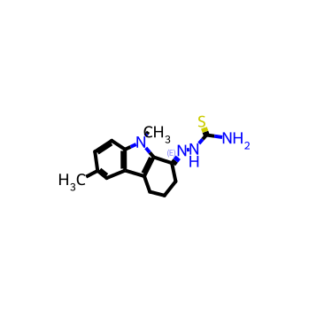 Cc1ccc2c(c1)c1c(n2C)/C(=N/NC(N)=S)CCC1